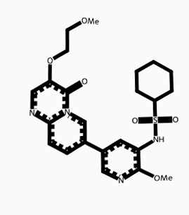 COCCOc1cnc2ccc(-c3cnc(OC)c(NS(=O)(=O)C4CCCCC4)c3)cn2c1=O